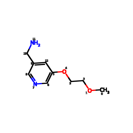 COCCOc1cncc(CN)c1